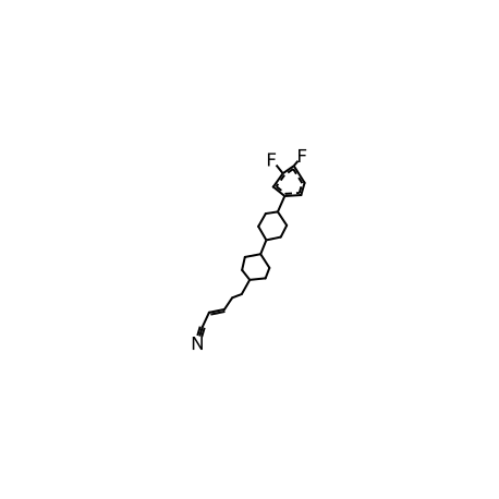 N#CC=CCCC1CCC(C2CCC(c3ccc(F)c(F)c3)CC2)CC1